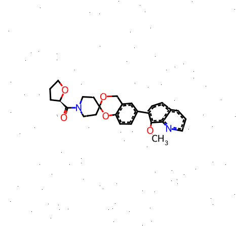 COc1c(-c2ccc3c(c2)COC2(CCN(C(=O)[C@H]4CCCO4)CC2)O3)ccc2cccnc12